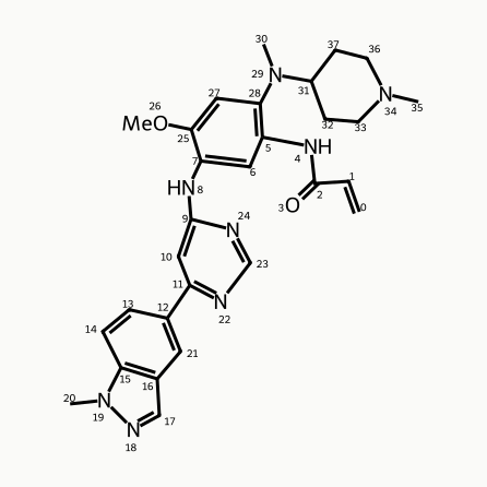 C=CC(=O)Nc1cc(Nc2cc(-c3ccc4c(cnn4C)c3)ncn2)c(OC)cc1N(C)C1CCN(C)CC1